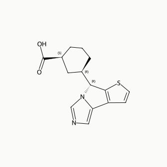 O=C(O)[C@H]1CCC[C@@H]([C@@H]2c3sccc3-c3cncn32)C1